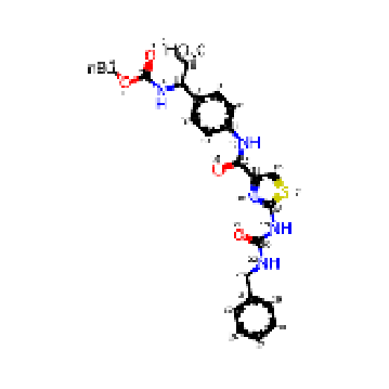 CCCCOC(=O)N[C@@H](CC(=O)O)c1ccc(NC(=O)c2csc(NC(=O)NCc3ccccc3)n2)cc1